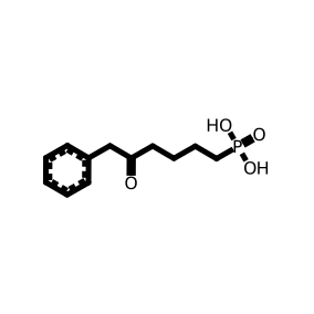 O=C(CCCCP(=O)(O)O)Cc1ccccc1